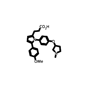 COc1ccc(-c2ccc(CCC(=O)O)n2-c2ccc(OC3CCN(C)C3)cc2)cc1